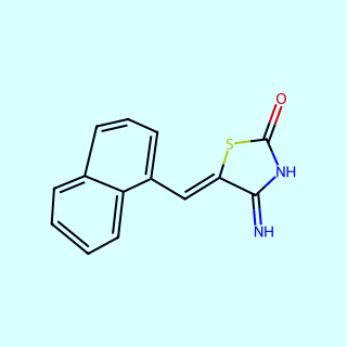 N=C1NC(=O)SC1=Cc1cccc2ccccc12